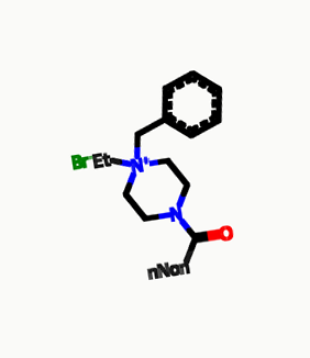 CCCCCCCCCC(=O)N1CC[N+](CC)(Cc2ccccc2)CC1.[Br-]